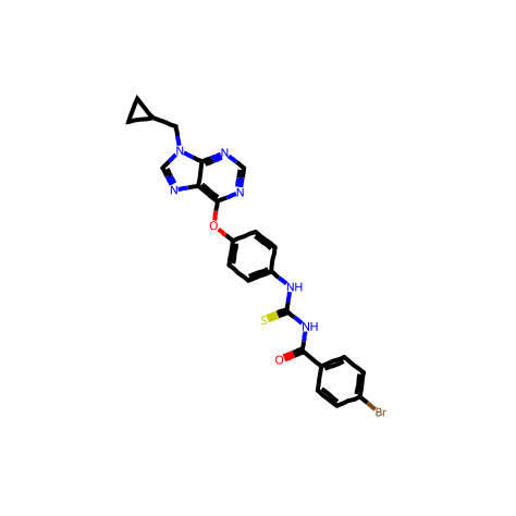 O=C(NC(=S)Nc1ccc(Oc2ncnc3c2ncn3CC2CC2)cc1)c1ccc(Br)cc1